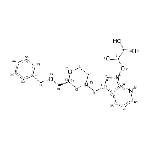 O=C(O)C(=O)On1cc(CN2CCO[C@H](COCc3ccccc3)C2)c2cccnc21